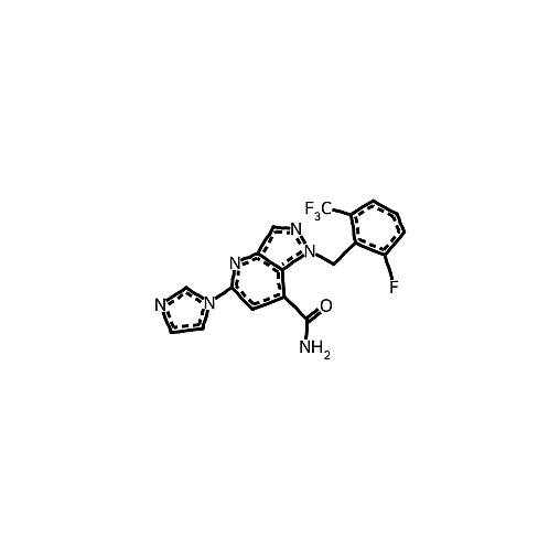 NC(=O)c1cc(-n2ccnc2)nc2cnn(Cc3c(F)cccc3C(F)(F)F)c12